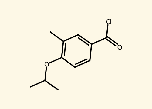 Cc1cc(C(=O)Cl)ccc1OC(C)C